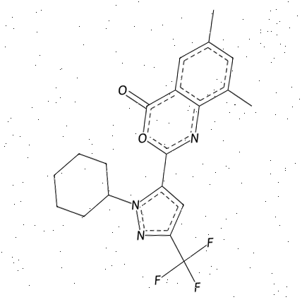 Cc1cc(C)c2nc(-c3cc(C(F)(F)F)nn3C3CCCCC3)oc(=O)c2c1